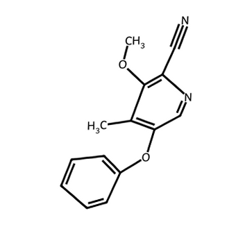 COc1c(C#N)ncc(Oc2ccccc2)c1C